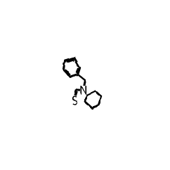 S=CN(Cc1ccccc1)C1CCCCC1